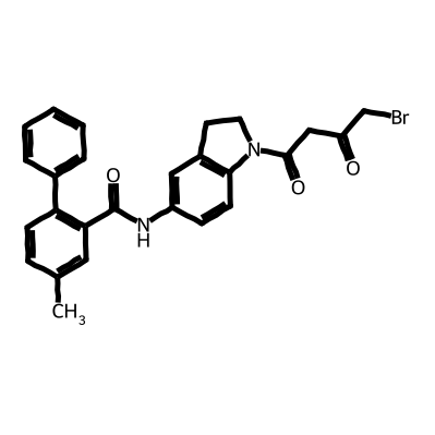 Cc1ccc(-c2ccccc2)c(C(=O)Nc2ccc3c(c2)CCN3C(=O)CC(=O)CBr)c1